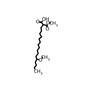 CCCCC(CCCCCCCCCCCC(C(=O)O)C(=O)OC)OC